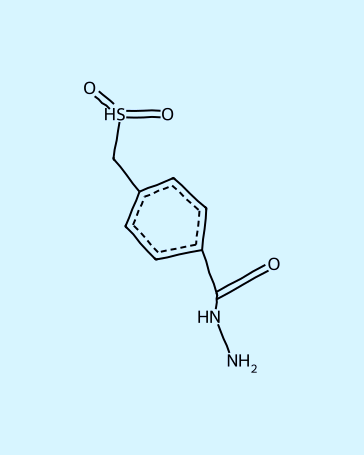 NNC(=O)c1ccc(C[SH](=O)=O)cc1